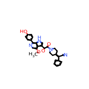 COc1cnc(-c2ccc(O)cc2)c2[nH]cc(C(=O)C(=O)N3CCC(=C(C#N)c4ccccc4)CC3)c12